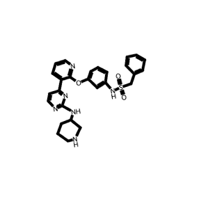 O=S(=O)(Cc1ccccc1)Nc1cccc(Oc2ncccc2-c2ccnc(NC3CCCNC3)n2)c1